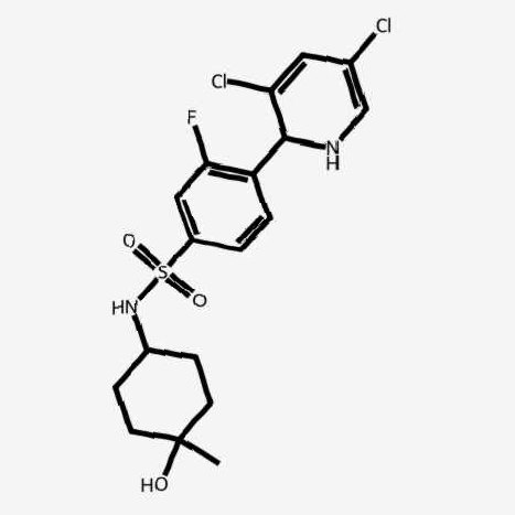 CC1(O)CCC(NS(=O)(=O)c2ccc(C3NC=C(Cl)C=C3Cl)c(F)c2)CC1